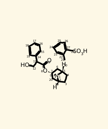 CN1[C@@H]2CC[C@H]1C[C@@H](OC(=O)C(CO)c1ccccc1)C2.Cc1ccccc1S(=O)(=O)O